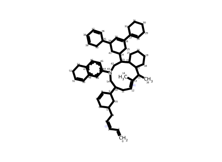 C=C/C=C\CC1CC=CC(C2C/C=C(\C)C(C)C3CCCCC3C(C3CC(C4=CCCCC4)=CC(C4C=CC=CC4)C3)CN(c3ccc4c(c3)C=CCC4)C2)C1